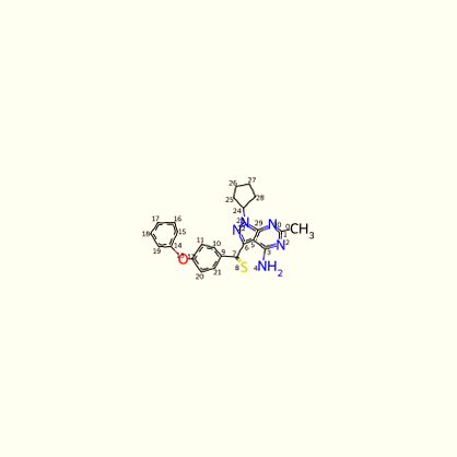 Cc1nc(N)c2c(C(=S)c3ccc(Oc4ccccc4)cc3)nn(C3CCCC3)c2n1